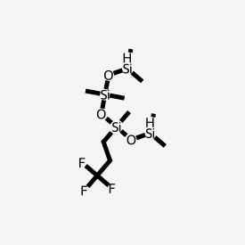 C[SiH](C)O[Si](C)(C)O[Si](C)(CCC(F)(F)F)O[SiH](C)C